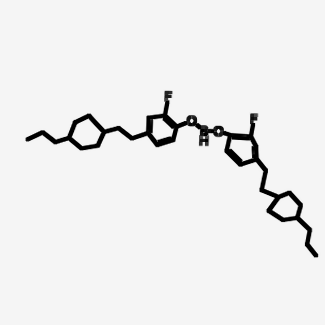 CCCC1CCC(CCc2ccc(OBOc3ccc(CCC4CCC(CCC)CC4)cc3F)c(F)c2)CC1